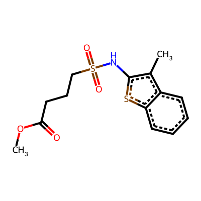 COC(=O)CCCS(=O)(=O)Nc1sc2ccccc2c1C